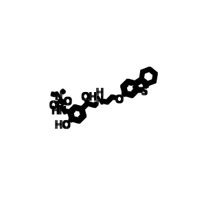 CN(C)S(=O)(=O)Nc1cc(C(O)CNCCOc2ccc3c4c(sc3c2)CCCC4)ccc1O